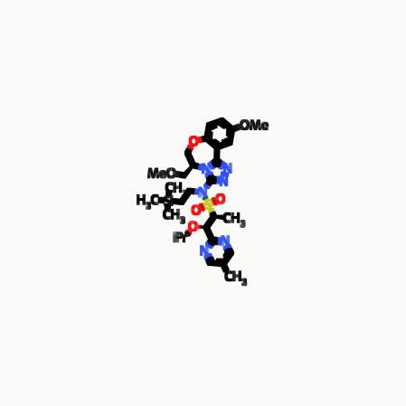 COC[C@H]1COc2ccc(OC)cc2-c2nnc(N(CC[Si](C)(C)C)S(=O)(=O)[C@@H](C)[C@@H](OC(C)C)c3ncc(C)cn3)n21